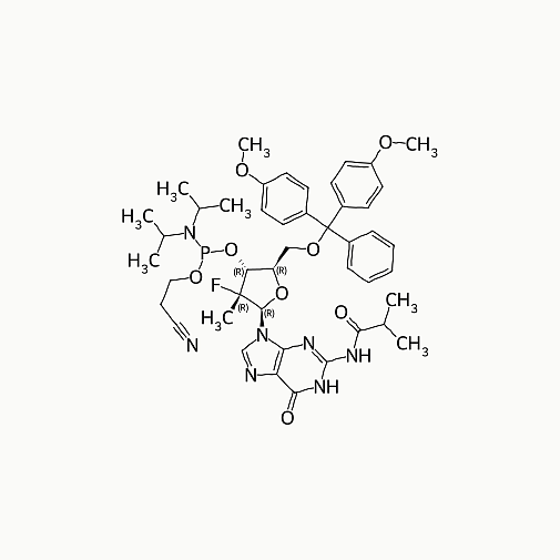 COc1ccc(C(OC[C@H]2O[C@@H](n3cnc4c(=O)[nH]c(NC(=O)C(C)C)nc43)[C@](C)(F)[C@@H]2OP(OCCC#N)N(C(C)C)C(C)C)(c2ccccc2)c2ccc(OC)cc2)cc1